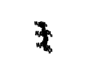 CCc1cc(-c2noc(-c3cc(C)c(CC(C)C)cn3)n2)cc(C)c1OCC1COC(C)(C)OC1